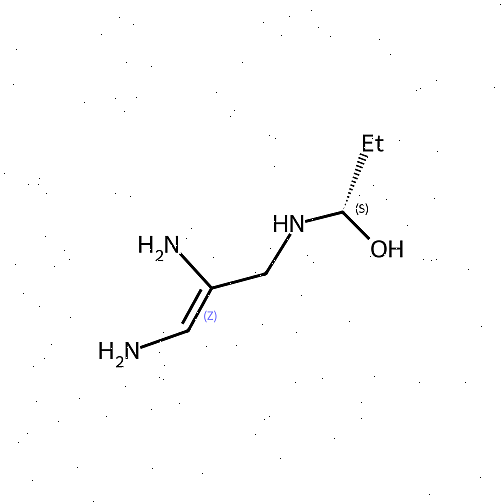 CC[C@H](O)NC/C(N)=C/N